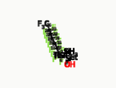 CC[SiH](O)[SiH]([SiH3])C(F)(F)C(F)(F)C(F)(F)C(F)(F)C(F)(F)C(F)(F)C(F)(F)C(F)(F)F